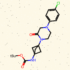 CC(C)(C)OC(=O)NC12CC(N3CCN(c4ccc(Cl)cc4)CC3=O)(C1)C2